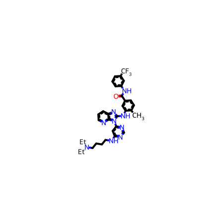 CCN(CC)CCCCNc1cc(-n2c(Nc3cc(C(=O)Nc4cccc(C(F)(F)F)c4)ccc3C)nc3cccnc32)ncn1